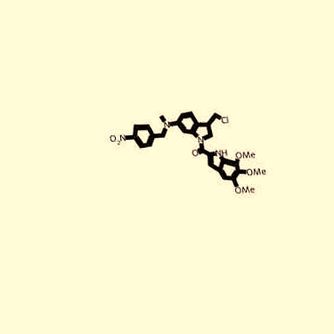 COc1cc2cc(C(=O)N3CC(CCl)c4ccc(N(C)Cc5ccc([N+](=O)[O-])cc5)cc43)[nH]c2c(OC)c1OC